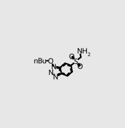 CCCCOn1nnc2ccc(S(=O)(=O)CN)cc21